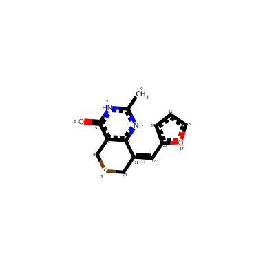 Cc1nc2c(c(=O)[nH]1)CSC/C2=C/c1ccco1